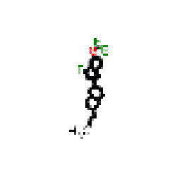 CCCCC1CCC2CC(c3cc(F)c4cc(OC(F)F)c(F)cc4c3)CCC2C1